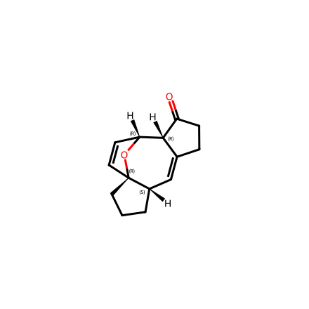 O=C1CCC2=C[C@@H]3CCC[C@]34C=C[C@@H](O4)[C@H]12